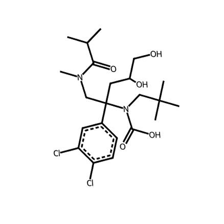 CC(C)C(=O)N(C)CC(CC(O)CO)(c1ccc(Cl)c(Cl)c1)N(CC(C)(C)C)C(=O)O